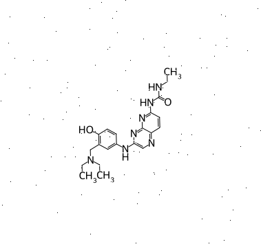 CCNC(=O)Nc1ccc2ncc(Nc3ccc(O)c(CN(CC)CC)c3)nc2n1